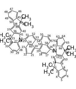 CC1(C)c2ccccc2-c2cc3c(cc21)N(c1ccc2c4cccc5c(N6c7ccccc7C(C)(C)c7cc8c(cc76)C(C)(C)c6ccccc6-8)ccc(c6cccc1c62)c54)c1ccccc1C3(C)C